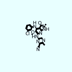 COc1c(Cl)cccc1Nc1cc(Nc2cnc(C)c(C#N)n2)nc2[nH]n(C)c(=O)c12